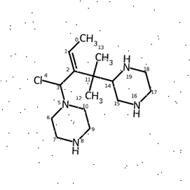 C/C=C(/C(Cl)N1CCNCC1)C(C)(C)C1CNCCN1